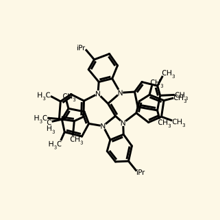 Cc1cc(N2/C(=C3/N(c4cc(C)c(C)c(C)c4)c4ccc(C(C)C)cc4N3c3cc(C)c(C)c(C)c3)N(c3cc(C)c(C)c(C)c3)c3cc(C(C)C)ccc32)cc(C)c1C